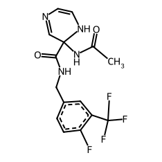 CC(=O)NC1(C(=O)NCc2ccc(F)c(C(F)(F)F)c2)C=NC=CN1